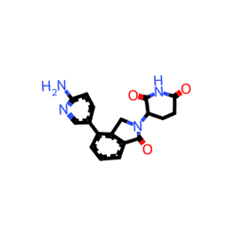 Nc1ccc(-c2cccc3c2CN(C2CCC(=O)NC2=O)C3=O)cn1